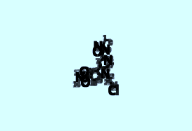 CCc1noc(-c2cc3c4cc(S(=O)(=O)N(C)C)ccc4n(CCCCl)c3cn2)n1